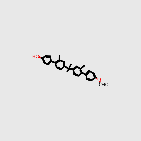 Cc1cc(C(C)(C)c2ccc(-c3ccc(OC=O)cc3)c(C)c2)ccc1-c1ccc(O)cc1